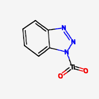 [O]=[Ti](=[O])[n]1nnc2ccccc21